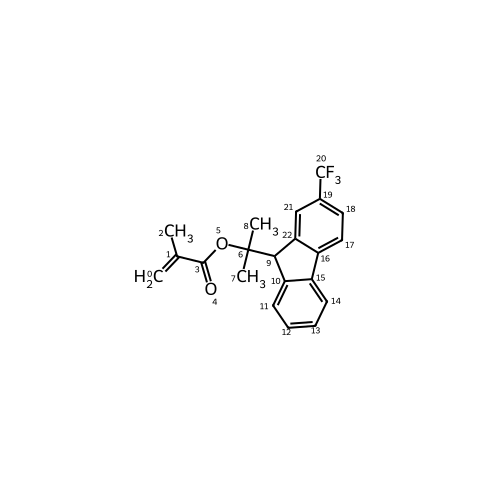 C=C(C)C(=O)OC(C)(C)C1c2ccccc2-c2ccc(C(F)(F)F)cc21